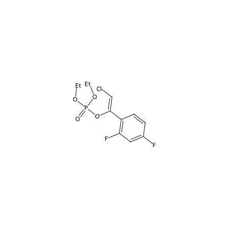 CCOP(=O)(OCC)OC(=CCl)c1ccc(F)cc1F